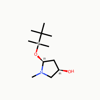 CN1C[C@H](O)C[C@@H]1O[Si](C)(C)C(C)(C)C